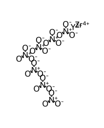 O=[N+]([O-])[O-].O=[N+]([O-])[O-].O=[N+]([O-])[O-].O=[N+]([O-])[O-].O=[N+]([O-])[O-].O=[N+]([O-])[O-].O=[N+]([O-])[O-].[Y+3].[Zr+4]